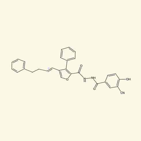 N#Cc1cc(C(=O)NNC(=O)c2occ(/C=C/CCc3ccccc3)c2-c2ccccc2)ccc1O